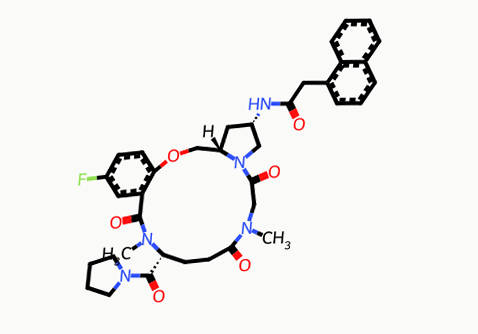 CN1CC(=O)N2C[C@@H](NC(=O)Cc3cccc4ccccc34)C[C@H]2COc2ccc(F)cc2C(=O)N(C)[C@@H](C(=O)N2CCCC2)CCC1=O